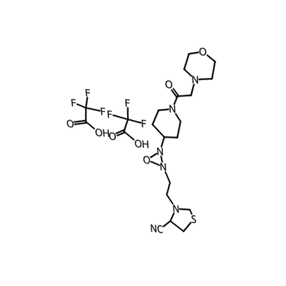 N#CC1CSCN1CCn1on1C1CCN(C(=O)CN2CCOCC2)CC1.O=C(O)C(F)(F)F.O=C(O)C(F)(F)F